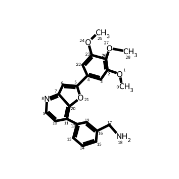 COc1cc(-c2cc3nccc(-c4cccc(CN)c4)c3o2)cc(OC)c1OC